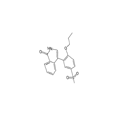 CCCOc1ccc(S(C)(=O)=O)cc1-c1c[nH]c(=O)c2ccccc12